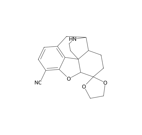 N#Cc1ccc2c3c1OC1C4(CCC5C(C2)NCCC351)OCCO4